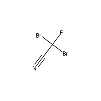 N#CC(F)(Br)Br